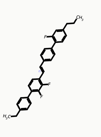 CCCc1ccc(-c2ccc(/C=C/c3ccc(-c4ccc(CC)cc4)c(F)c3F)cc2)c(F)c1